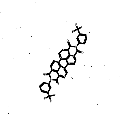 O=C1c2ccc3c4ccc5c6c(ccc(c7ccc(c2c37)C(=O)N1c1cccc(C(F)(F)F)c1)c64)C(=O)N(c1cccc(C(F)(F)F)c1)C5=O